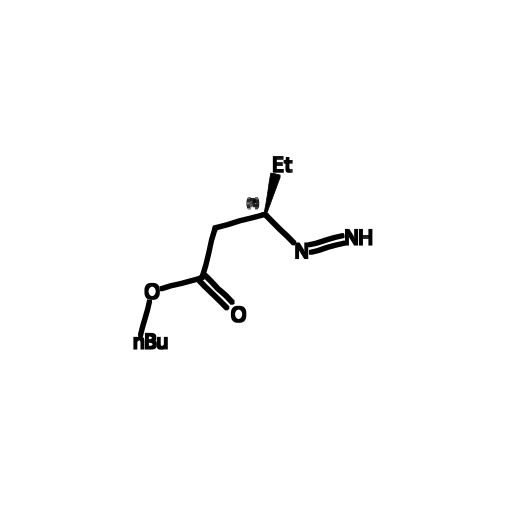 CCCCOC(=O)C[C@@H](CC)N=N